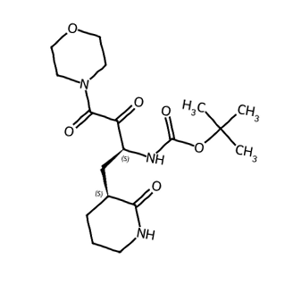 CC(C)(C)OC(=O)N[C@@H](C[C@@H]1CCCNC1=O)C(=O)C(=O)N1CCOCC1